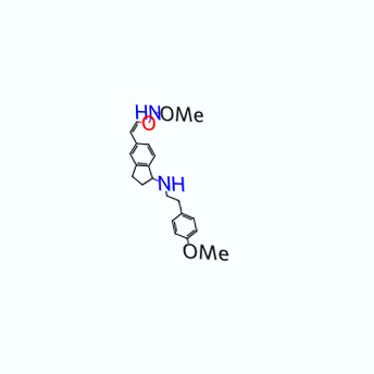 CONO/C=C\c1ccc2c(c1)CCC2NCCc1ccc(OC)cc1